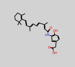 CC(C=CC1=C(C)CCCC1(C)C)=CC=CC(C)=CC(=O)Nc1cc(CC(=O)O)ccc1O